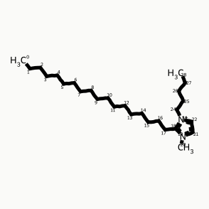 CCCCCCCCCCCCCCCCCCc1n(C)cc[n+]1CCCCC